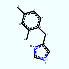 Cc1ccc(Cc2c[nH]cn2)c(C)c1